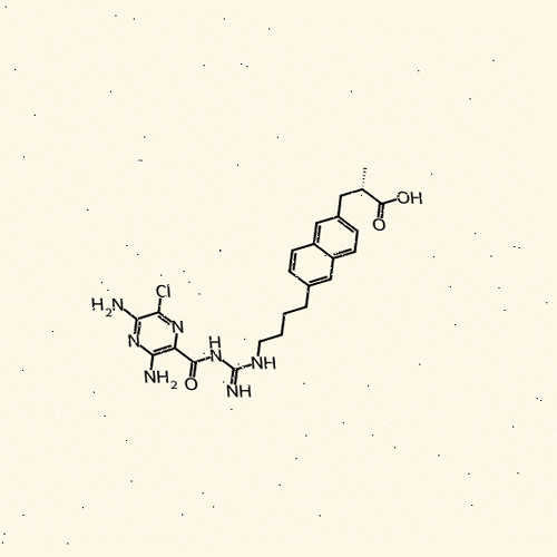 C[C@@H](Cc1ccc2cc(CCCCNC(=N)NC(=O)c3nc(Cl)c(N)nc3N)ccc2c1)C(=O)O